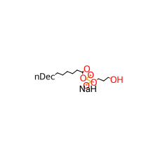 CCCCCCCCCCCCCCCC(=O)OS(=O)(=O)OCCCO.[NaH]